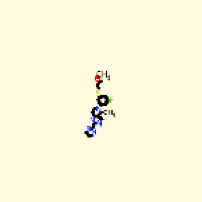 COCCCSc1cc(F)cc(N2CCc3nc(-c4ncccn4)ncc3C2C)c1